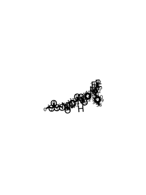 CCOC(=O)OCO/N=[N+](\[O-])N1CCC(C(=O)NS(=O)(=O)c2ccc(-n3nc(C(F)(F)F)cc3-c3ccc(C)cc3)cc2)CC1